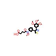 COc1cc(-c2nscc2-c2cccc(N(OC)C(=O)CCCC(=O)O)c2)cc(OC)c1OC